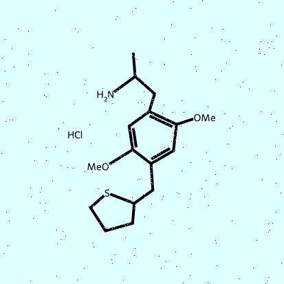 COc1cc(CC2CCCS2)c(OC)cc1CC(C)N.Cl